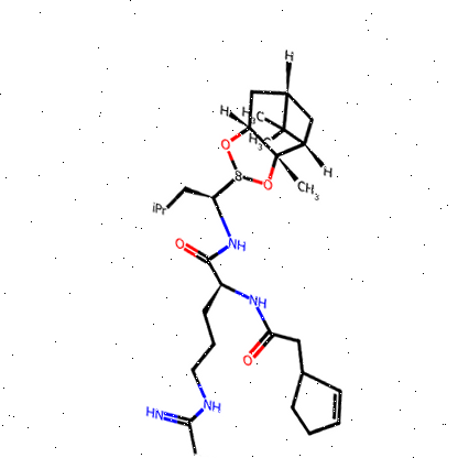 CNC(=N)NCCC[C@H](NC(=O)CC1C=CCC1)C(=O)N[C@@H](CC(C)C)B1O[C@@H]2C[C@@H]3C[C@@H](C3(C)C)[C@]2(C)O1